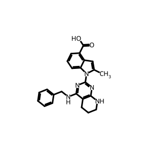 Cc1cc2c(C(=O)O)cccc2n1-c1nc2c(c(NCc3ccccc3)n1)CCCN2